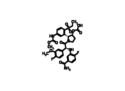 CCS(=O)(=O)c1ccc(NC(=O)OC)cc1[C@@H]1[C@@H](OC(=O)O)CCN1C(=O)[C@H](Nc1cc(C(N)=O)ccc1F)c1ccc(F)c(OC)c1